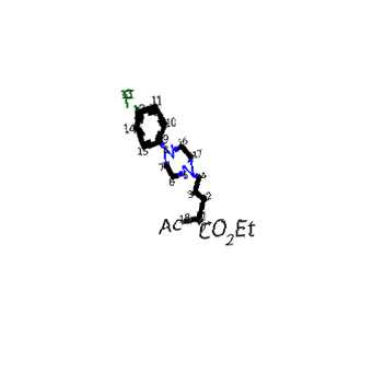 CCOC(=O)C(CCCN1CCN(c2ccc(F)cc2)CC1)C(C)=O